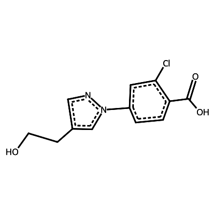 O=C(O)c1ccc(-n2cc(CCO)cn2)cc1Cl